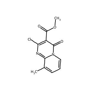 COC(=O)c1c(Cl)nc2c(C)cccn2c1=O